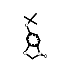 CC(C)(C)Oc1ccc2c(c1)OC[S+]2[O-]